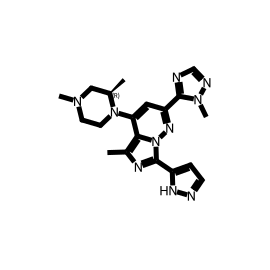 Cc1nc(-c2ccn[nH]2)n2nc(-c3ncnn3C)cc(N3CCN(C)C[C@H]3C)c12